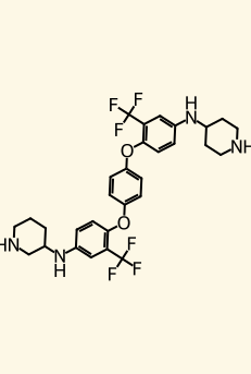 FC(F)(F)c1cc(NC2CCNCC2)ccc1Oc1ccc(Oc2ccc(NC3CCCNC3)cc2C(F)(F)F)cc1